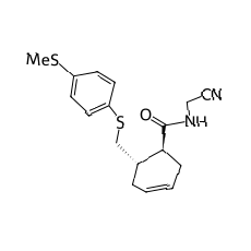 CSc1ccc(SC[C@H]2CC=CC[C@@H]2C(=O)NCC#N)cc1